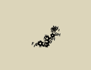 NS(=O)(=O)OC[C@H]1C[C@@H](Nc2ccncc2C(=O)c2ccn(Cc3cccc(C(F)(F)F)c3)n2)C[C@@H]1O